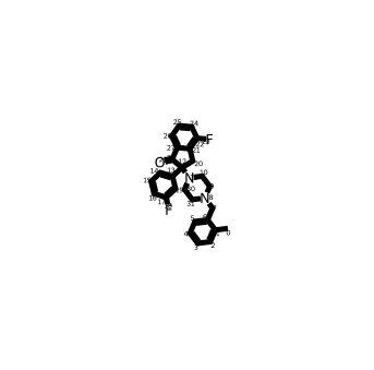 Cc1ccccc1CN1CCN(C2(c3cccc(F)c3)Cc3c(F)cccc3C2=O)CC1